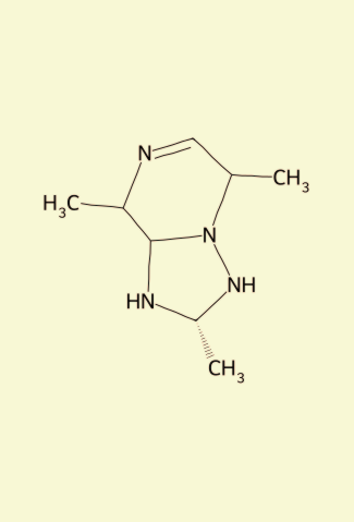 CC1N=CC(C)N2N[C@H](C)NC12